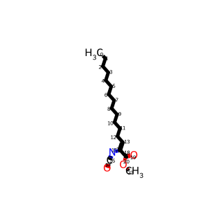 CCCCCCCCCCCCC/C=C(\N=C=O)C(=O)OC